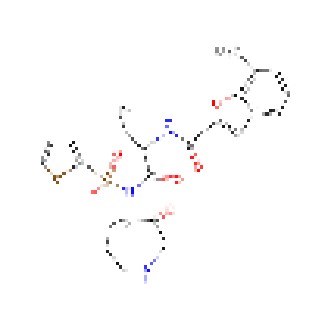 COc1cccc2cc(C(=O)NC(CC(C)C)C(=O)N([C@H]3CCCNCC3=O)S(=O)(=O)c3cccs3)oc12